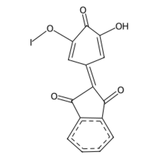 O=C1C(O)=CC(=C2C(=O)c3ccccc3C2=O)C=C1OI